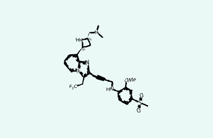 COc1cc(S(C)(=O)=O)ccc1NCC#Cc1nc2c([C@@H]3C[C@@H](CN(C)C)N3)cccn2c1CC(F)(F)F